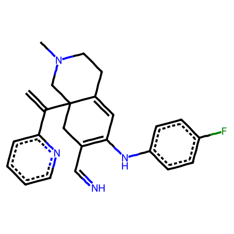 C=C(c1ccccn1)C12CC(C=N)=C(Nc3ccc(F)cc3)C=C1CCN(C)C2